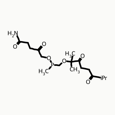 CC(C)C(=O)CCC(=O)C(C)(C)OCP(C)OCC(=O)CCC(N)=O